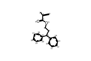 C=C(C)C(=O)OCCC(c1ccccc1)c1ccccc1